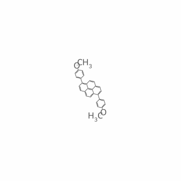 COc1ccc(-c2ccc3ccc4c(-c5ccc(OC)cc5)ccc5ccc2c3c54)cc1